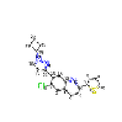 Clc1cc2ccc(-c3cccs3)nc2cc1-c1ccn(C2CCC2)n1